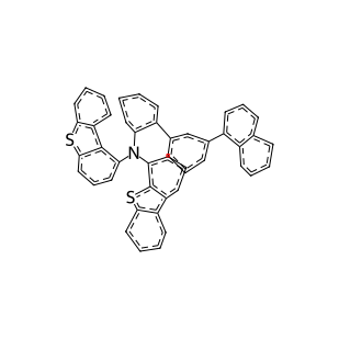 c1cc(-c2ccccc2N(c2cccc3c2sc2ccccc23)c2cccc3sc4ccccc4c23)cc(-c2cccc3ccccc23)c1